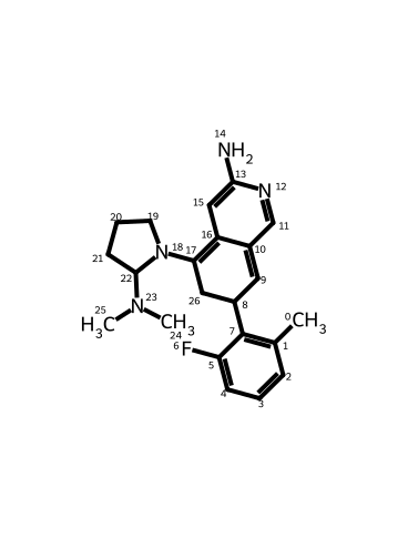 Cc1cccc(F)c1C1C=c2cnc(N)cc2=C(N2CCCC2N(C)C)C1